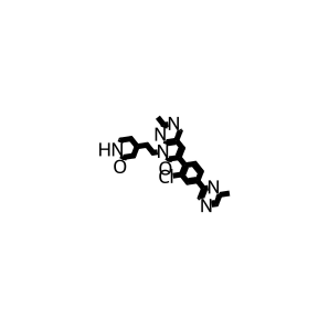 Cc1cncc(-c2ccc(-c3cc4cnc(C)nc4n(CCC4CCNC(=O)C4)c3=O)c(Cl)c2)n1